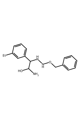 CCc1cccc(C(NNOCc2ccccc2)C(N)O)c1